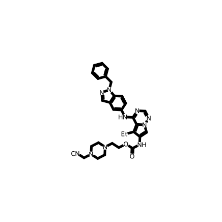 [C-]#[N+]CN1CCN(CCOC(=O)Nc2cn3ncnc(Nc4ccc5c(cnn5Cc5ccccc5)c4)c3c2CC)CC1